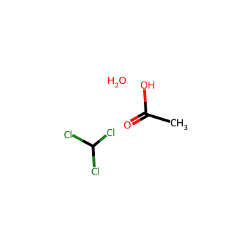 CC(=O)O.ClC(Cl)Cl.O